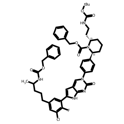 CC(CCCc1cc(Cl)c(F)c(-c2cc3cn(-c4ccc([C@@H]5CCC[C@@H](CCNC(=O)OC(C)(C)C)N5C(=O)OCc5ccccc5)cc4)c(=O)nc3[nH]2)c1)NC(=O)OCc1ccccc1